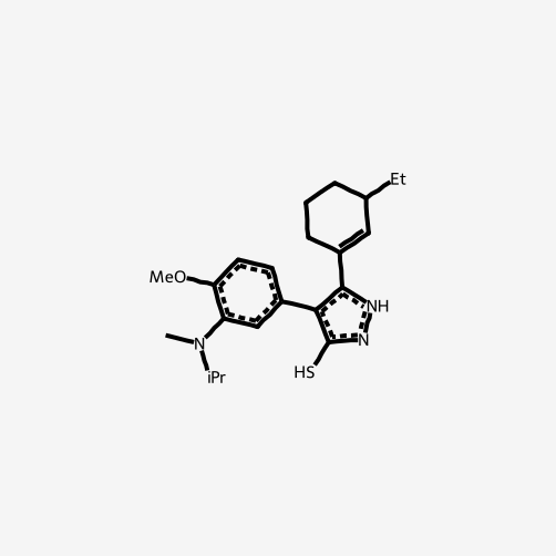 CCC1C=C(c2[nH]nc(S)c2-c2ccc(OC)c(N(C)C(C)C)c2)CCC1